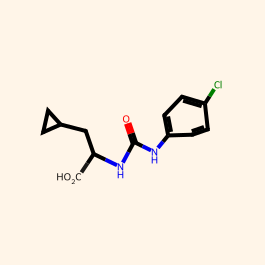 O=C(Nc1ccc(Cl)cc1)NC(CC1CC1)C(=O)O